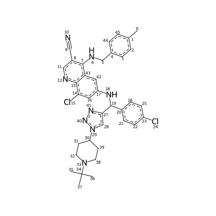 Cc1ccc(CNc2c(C#N)cnc3c(Cl)cc(NC(c4ccc(Cl)cc4)c4cn(C5CCN(C(C)(C)C)CC5)nn4)cc23)cc1